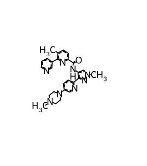 Cc1ccc(C(=O)Nc2cn(C)nc2-c2ccc(N3CCN(C)CC3)cn2)nc1-c1cccnc1